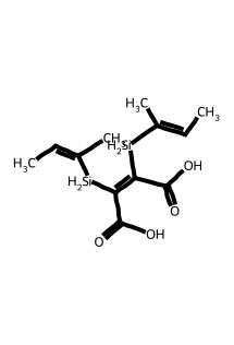 CC=C(C)[SiH2]C(C(=O)O)=C([SiH2]C(C)=CC)C(=O)O